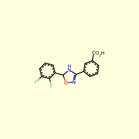 O=C(O)c1cccc(C2=NOC(c3cccc(F)c3F)N2)c1